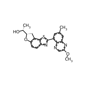 COc1cnc2c(-c3nc4ccc5c(c4s3)C[C@@H]([C@@H](C)O)O5)cc(C)cc2n1